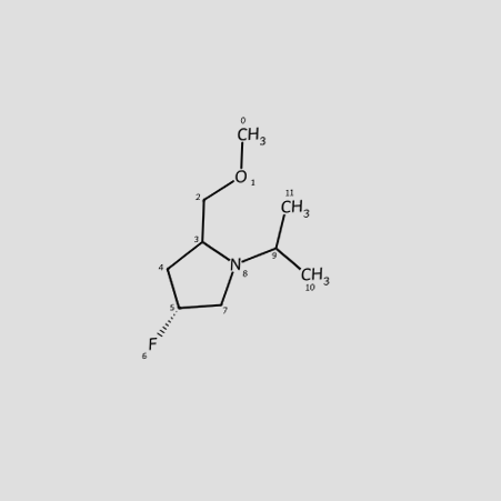 COCC1C[C@@H](F)CN1C(C)C